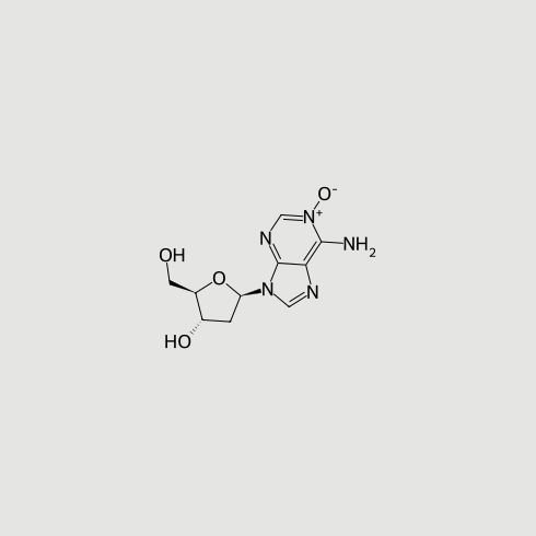 Nc1c2ncn([C@H]3C[C@H](O)[C@@H](CO)O3)c2nc[n+]1[O-]